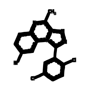 Cc1nc2ccc(Br)cc2n2c(-c3cc(Cl)ccc3Cl)nnc12